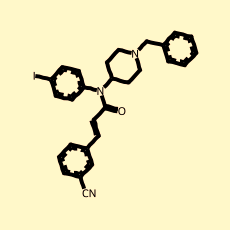 N#Cc1cccc(/C=C/C(=O)N(c2ccc(I)cc2)C2CCN(Cc3ccccc3)CC2)c1